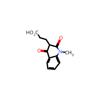 CN1C(=O)C(CCC(=O)O)C(=O)c2ccccc21